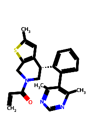 C=CC(=O)N1Cc2sc(C)cc2[C@H](c2ccccc2-c2c(C)ncnc2C)C1